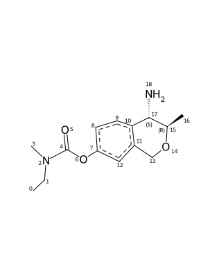 CCN(C)C(=O)Oc1ccc2c(c1)CO[C@H](C)[C@H]2N